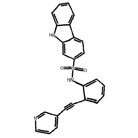 O=S(=O)(Nc1ccccc1C#Cc1cccnc1)c1ccc2c(c1)[nH]c1ccccc12